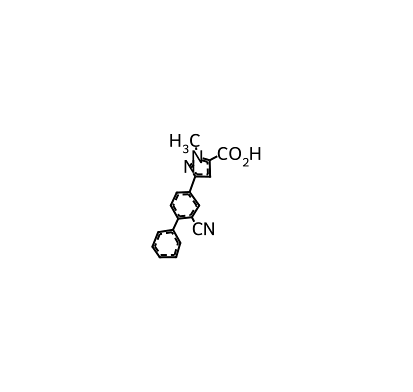 Cn1nc(-c2ccc(-c3ccccc3)c(C#N)c2)cc1C(=O)O